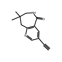 C#Cc1cnc2c(c1)C(=O)NCC(C)(C)C2